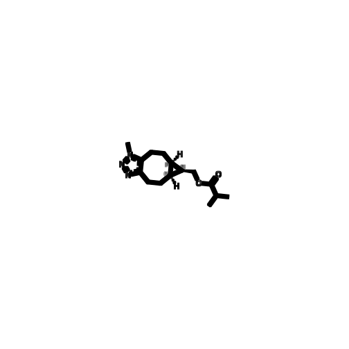 CC(C)C(=O)OC[C@@H]1[C@@H]2CCc3c(nnn3C)CC[C@@H]21